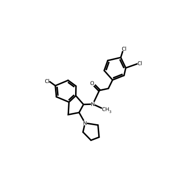 CN(C(=O)Cc1ccc(Cl)c(Cl)c1)C1c2ccc(Cl)cc2CC1N1CCCC1